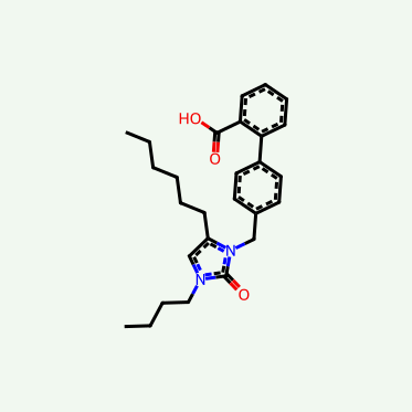 CCCCCCc1cn(CCCC)c(=O)n1Cc1ccc(-c2ccccc2C(=O)O)cc1